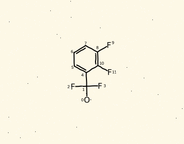 [O]C(F)(F)c1cccc(F)c1F